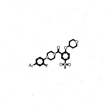 CC(=O)c1ccc(N2CCN(C(=O)c3cc(S(C)(=O)=O)ccc3OC3CCOCC3)CC2)c(F)c1